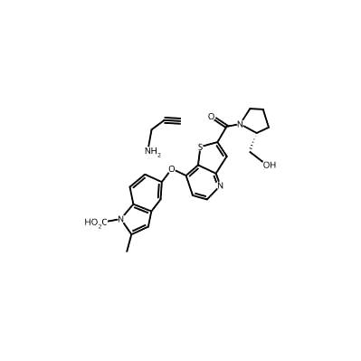 C#CCN.Cc1cc2cc(Oc3ccnc4cc(C(=O)N5CCC[C@@H]5CO)sc34)ccc2n1C(=O)O